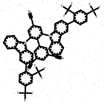 N#Cc1cc(C#N)cc(-c2c(-n3c4ccccc4c4cc(-c5ccc(C(F)(F)F)cc5C(F)(F)F)ccc43)cc(C#N)cc2-n2c3ccccc3c3cc(-c4ccc(C(F)(F)F)cc4C(F)(F)F)ccc32)c1